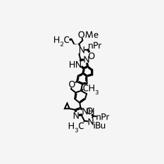 C=CC[C@H](COC)N(Cc1nc2ccc3cc4c(cc3c2[nH]1)OCC1=CC(c2[nH]c([C@H](C)N(C(=O)CCC)[C@@H](C)CC)nc2C2CC2)=CCC14C)C(=O)CCC